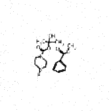 CC(C)(C)OC(=O)N1CCN(F)CC1.COC(=O)c1ccccc1